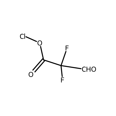 O=CC(F)(F)C(=O)OCl